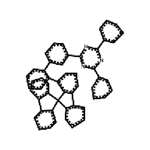 c1ccc(-c2nc(-c3ccccc3)nc(-c3cccc(-c4ccccc4-c4cccc5c4C4(c6ccccc6-c6ccccc64)c4ccccc4-5)c3)n2)cc1